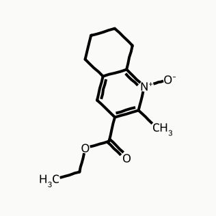 CCOC(=O)c1cc2c([n+]([O-])c1C)CCCC2